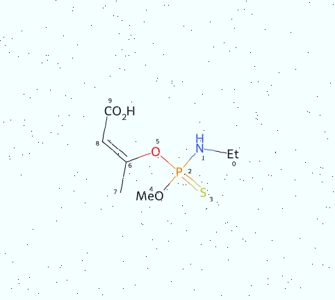 CCNP(=S)(OC)O/C(C)=C\C(=O)O